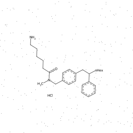 CCCCCCC(Cc1ccc(CN(C)C(=O)CCCCCN)cc1)c1ccccc1.Cl